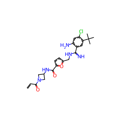 C=CC(=O)N1CC(NC(=O)c2ccc(CNC(=N)c3cc(C(C)(C)C)c(Cl)cc3N)o2)C1